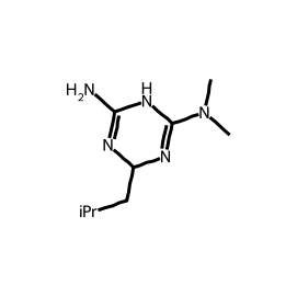 CC(C)CC1N=C(N)NC(N(C)C)=N1